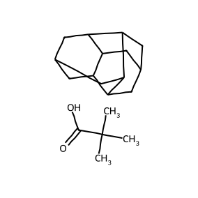 C1C2CC3C4CC5CC(C14)C(C2)C3C5.CC(C)(C)C(=O)O